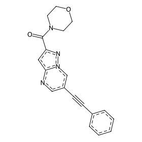 O=C(c1cc2ncc(C#Cc3ccccc3)cn2n1)N1CCOCC1